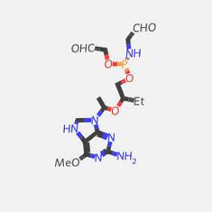 CCC(COP(NCC=O)OCC=O)OC(C)N1CNc2c(OC)nc(N)nc21